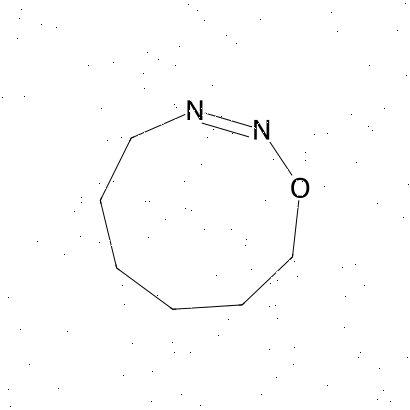 C1CCCO/N=N\CC1